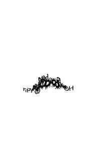 CCCN(CCC)C(=O)C1=Cc2ccc(-c3ccc4c(=O)n(CCCO)ccc4c3)cc2N=C(N)C1